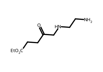 CCOC(=O)CCC(=O)CNCCN